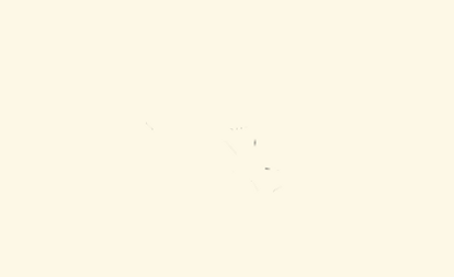 C=CCCCCc1cccc2c1Cc1ccccc1-2